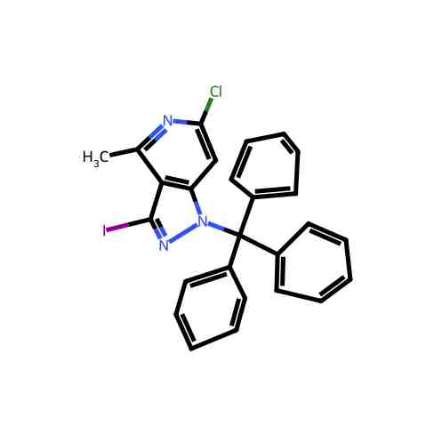 Cc1nc(Cl)cc2c1c(I)nn2C(c1ccccc1)(c1ccccc1)c1ccccc1